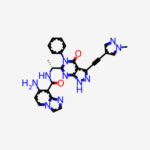 C[C@@H](NC(=O)c1c(N)ccn2ccnc12)c1nc2[nH]nc(C#Cc3cnn(C)c3)c2c(=O)n1-c1ccccc1